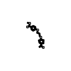 COC(=O)c1ccc(OCCCOc2ccc(C(C)=O)cc2)cc1